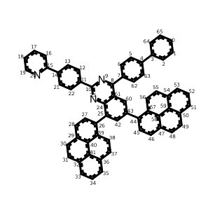 c1ccc(-c2ccc(-c3nc(-c4ccc(-c5ccccn5)cc4)nc4c(-c5ccc6ccc7cccc8ccc5c6c78)cc(-c5ccc6ccc7cccc8ccc5c6c78)cc34)cc2)cc1